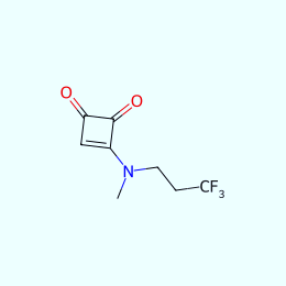 CN(CCC(F)(F)F)c1cc(=O)c1=O